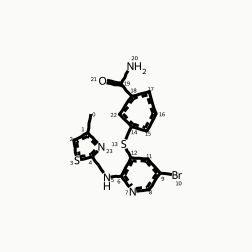 Cc1csc(Nc2ncc(Br)cc2Sc2cccc(C(N)=O)c2)n1